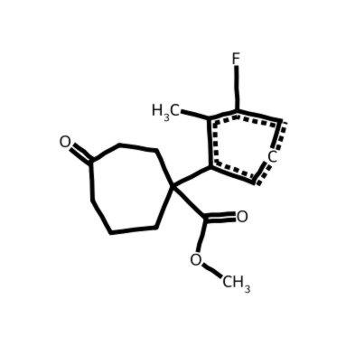 COC(=O)C1(c2cccc(F)c2C)CCCC(=O)CC1